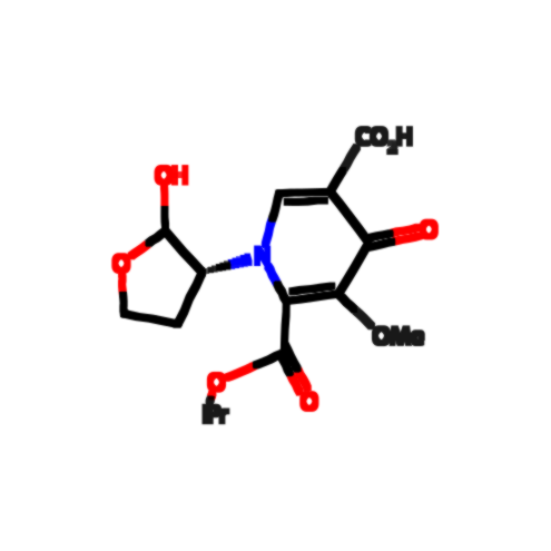 COc1c(C(=O)OC(C)C)n([C@@H]2CCOC2O)cc(C(=O)O)c1=O